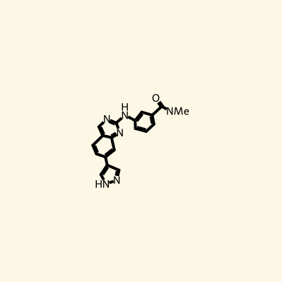 CNC(=O)c1cccc(Nc2ncc3ccc(-c4cn[nH]c4)cc3n2)c1